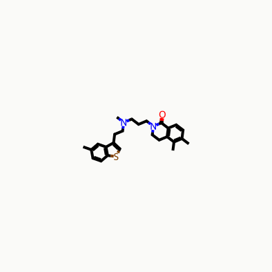 Cc1ccc2scc(CCN(C)CCCN3CCc4c(ccc(C)c4C)C3=O)c2c1